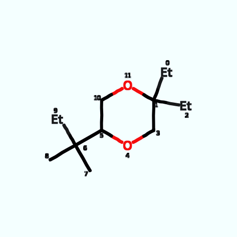 CCC1(CC)COC(C(C)(C)CC)CO1